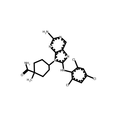 CC1(C(N)=O)CCC(n2c(Nc3c(Cl)cc(Cl)cc3Cl)nc3cnc(N)nc32)CC1